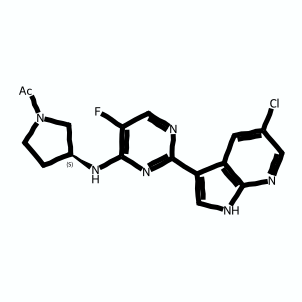 CC(=O)N1CC[C@H](Nc2nc(-c3c[nH]c4ncc(Cl)cc34)ncc2F)C1